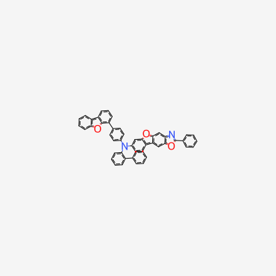 c1ccc(-c2nc3cc4oc5cc(N(c6ccc(-c7cccc8c7oc7ccccc78)cc6)c6ccccc6-c6ccccc6)ccc5c4cc3o2)cc1